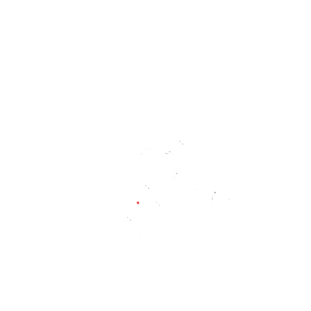 O=C(O)c1cc(C2CC2)c2nc(N3C4CC(NCc5c(-c6c(F)cccc6F)noc5C5CC5)CC3C4)sc2c1